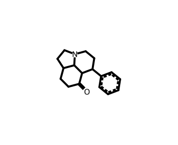 O=C1CCC2CCN3CCC(c4ccccc4)C1C23